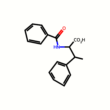 CC(c1ccccc1)C(NC(=O)c1ccccc1)C(=O)O